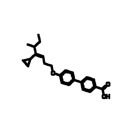 CCC(C)/C(=C/CCOc1ccc(-c2ccc(C(=O)O)cc2)cc1)C1CC1